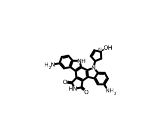 Nc1ccc2[nH]c3c(c4c(c5c6cc(N)ccc6n(C6C=C[C@@H](O)C6)c35)C(=O)NC4=O)c2c1